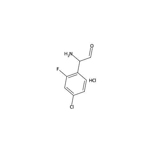 Cl.NC(C=O)c1ccc(Cl)cc1F